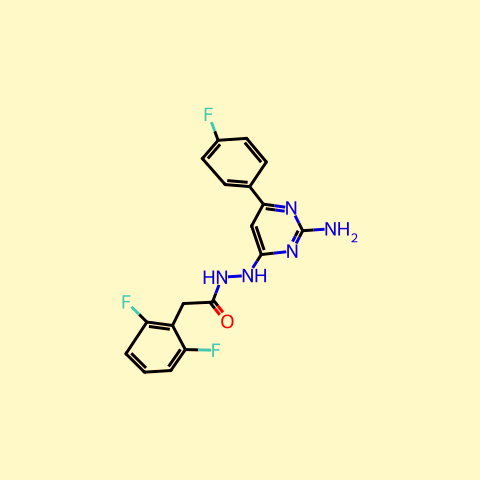 Nc1nc(NNC(=O)Cc2c(F)cccc2F)cc(-c2ccc(F)cc2)n1